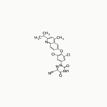 Cc1cc(C(C)C)nc2ccc(Oc3c(Cl)cc(-n4nc(C#N)c(=O)[nH]c4=O)cc3Cl)cc12